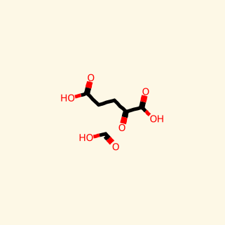 O=C(O)CCC(=O)C(=O)O.O=CO